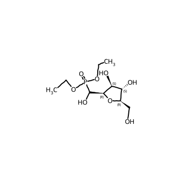 CCOP(=O)(OCC)C(O)[C@@H]1O[C@H](CO)[C@@H](O)[C@@H]1O